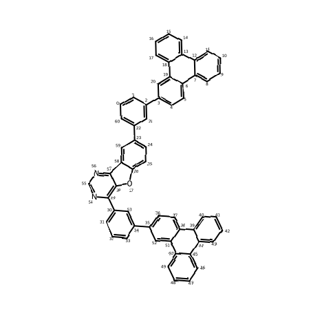 c1cc(-c2ccc3c4ccccc4c4ccccc4c3c2)cc(-c2ccc3oc4c(-c5cccc(-c6ccc7c8ccccc8c8ccccc8c7c6)c5)ncnc4c3c2)c1